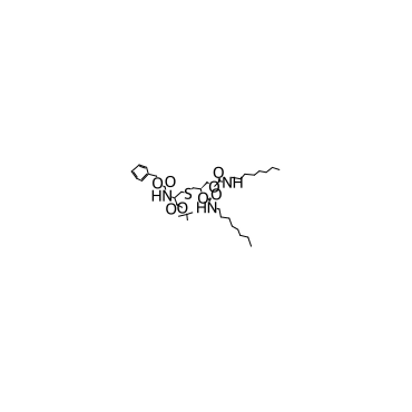 CCCCCCCCNC(=O)OC[C@H](CSCC(NC(=O)OCc1ccccc1)C(=O)OC(C)(C)C)OC(=O)NCCCCCCCC